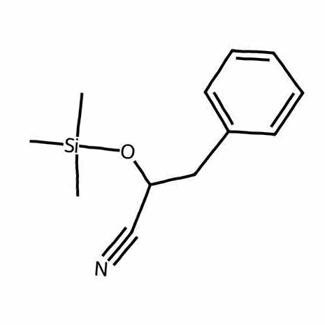 C[Si](C)(C)OC(C#N)Cc1ccccc1